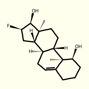 C[C@]12CC[C@H]3[C@@H](CC=C4CCC[C@H](O)[C@@]43C)[C@@H]1C[C@@H](F)[C@H]2O